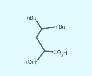 CCCCCCCCC(CC(CCCC)CCCC)C(=O)O